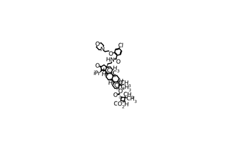 CC(C)C1=C2[C@H]3CC[C@@H]4[C@@]5(C)CC[C@H](OC(=O)[C@H]6C[C@@H](C(=O)O)C6(C)C)C(C)(C)[C@@H]5CC[C@@]4(C)[C@]3(C)CC[C@@]2(CCNC(=O)c2ccc(Cl)cc2OCCN2CCOCC2)CC1=O